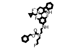 C[C@@H]1Cc2c([nH]c3ccccc23)[C@@H](c2c(F)cc(NCCN(CCCF)C(=O)OCc3ccccc3)cc2F)N1CC1(F)CC1